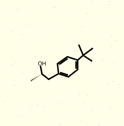 C[C@H](O)Cc1ccc(C(C)(C)C)cc1